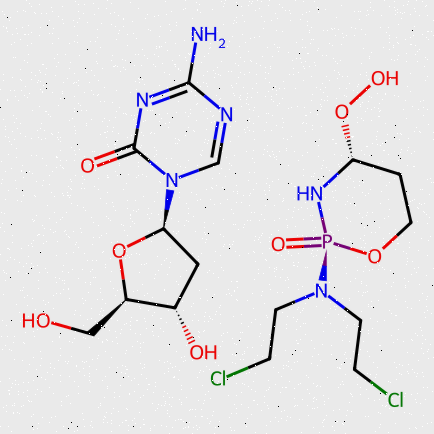 Nc1ncn([C@H]2C[C@H](O)[C@@H](CO)O2)c(=O)n1.O=[P@]1(N(CCCl)CCCl)N[C@H](OO)CCO1